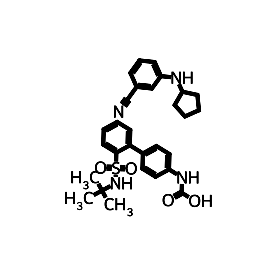 CC(C)(C)NS(=O)(=O)c1ccccc1-c1ccc(NC(=O)O)cc1.N#Cc1cccc(NC2CCCC2)c1